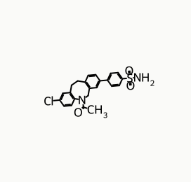 CC(=O)N1Cc2cc(-c3ccc(S(N)(=O)=O)cc3)ccc2CCc2cc(Cl)ccc21